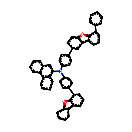 c1ccc(-c2cccc3c2oc2ccc(-c4ccc(N(c5ccc(-c6cccc7c6oc6ccccc67)cc5)c5cc6ccccc6c6ccccc56)cc4)cc23)cc1